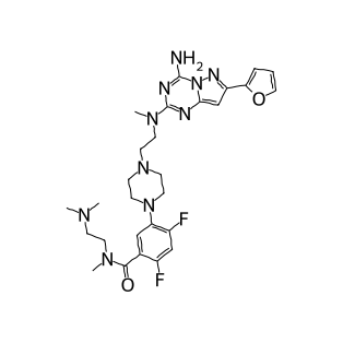 CN(C)CCN(C)C(=O)c1cc(N2CCN(CCN(C)c3nc(N)n4nc(-c5ccco5)cc4n3)CC2)c(F)cc1F